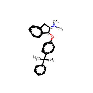 CN(C)[C@@H]1Cc2ccccc2[C@@H]1Oc1ccc(C(C)(C)c2ccccc2)cc1